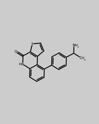 CC(N)c1ccc(-c2cccc3[nH]c(=O)c4sccc4c23)cc1